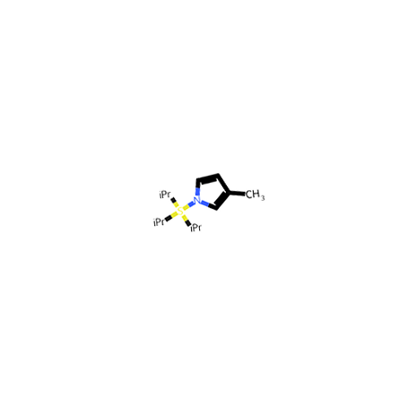 Cc1ccn(S(C(C)C)(C(C)C)C(C)C)c1